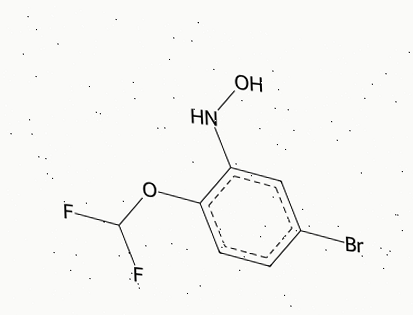 ONc1cc(Br)ccc1OC(F)F